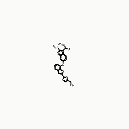 CNC(=O)c1c(C)sc2cc(Oc3ccnc4cc(-c5nc(CO)cs5)sc34)ccc12